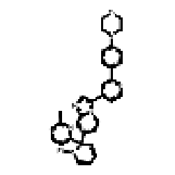 CCN1C=CC=CC1(c1ccn2c(-c3ccnc(-c4ccc(N5CCOCC5)cc4)c3)cnc2c1)c1cccc(C)n1